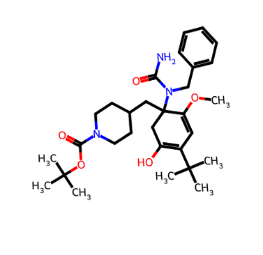 COC1=CC(C(C)(C)C)=C(O)CC1(CC1CCN(C(=O)OC(C)(C)C)CC1)N(Cc1ccccc1)C(N)=O